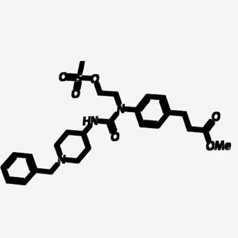 COC(=O)CCc1ccc(N(CCOS(C)(=O)=O)C(=O)NC2CCN(Cc3ccccc3)CC2)cc1